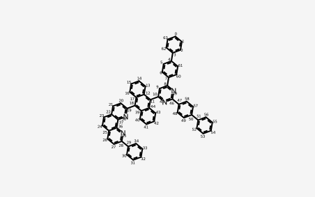 c1ccc(-c2ccc(-c3cc(-c4c5ccccc5c(-c5ccc6ccc7ccc(-c8ccccc8)nc7c6n5)c5ccccc45)nc(-c4ccc(-c5ccccc5)cc4)n3)cc2)cc1